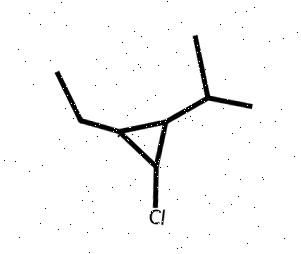 CC[C]1C(Cl)C1C(C)C